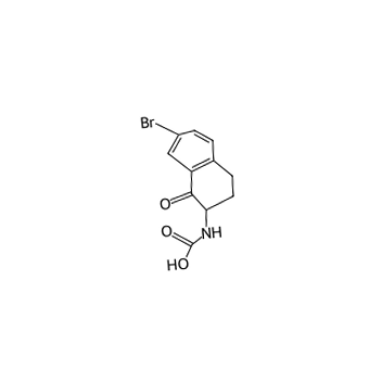 O=C(O)NC1CCc2ccc(Br)cc2C1=O